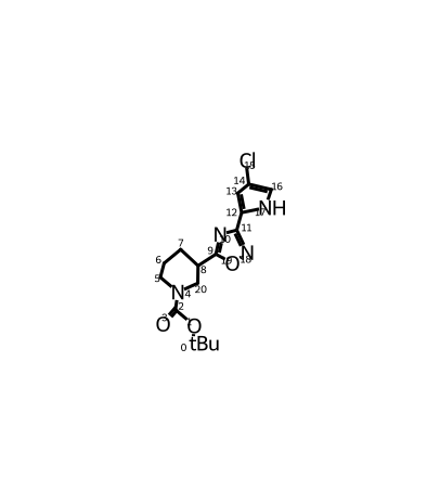 CC(C)(C)OC(=O)N1CCCC(c2nc(-c3cc(Cl)c[nH]3)no2)C1